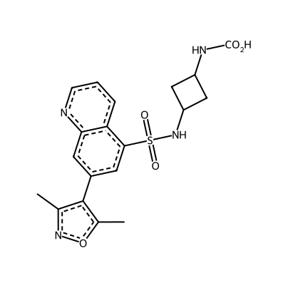 Cc1noc(C)c1-c1cc(S(=O)(=O)NC2CC(NC(=O)O)C2)c2cccnc2c1